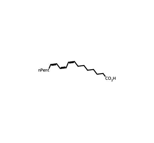 CCCCC\C=C/C=C\C=C/CCCCCCC(=O)O